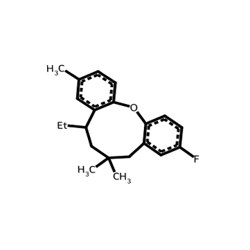 CCC1CC(C)(C)Cc2cc(F)ccc2Oc2ccc(C)cc21